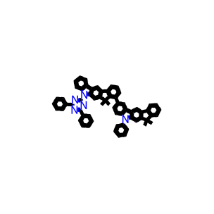 CC1(C)c2ccccc2-c2cc3c4cc(-c5cccc6c5C(C)(C)c5cc7c(cc5-6)c5ccccc5n7-c5nc(-c6ccccc6)nc(-c6ccccc6)n5)ccc4n(-c4ccccc4)c3cc21